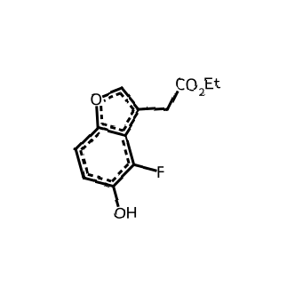 CCOC(=O)Cc1coc2ccc(O)c(F)c12